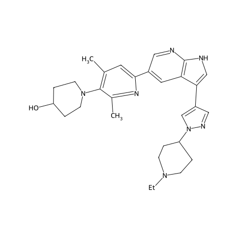 CCN1CCC(n2cc(-c3c[nH]c4ncc(-c5cc(C)c(N6CCC(O)CC6)c(C)n5)cc34)cn2)CC1